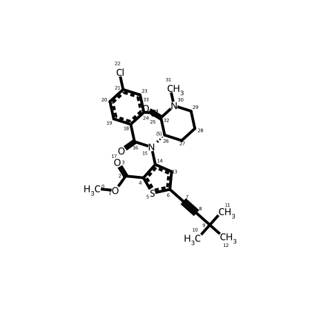 COC(=O)c1sc(C#CC(C)(C)C)cc1N(C(=O)c1ccc(Cl)cc1Cl)[C@H]1CCCN(C)C1=O